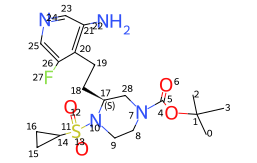 CC(C)(C)OC(=O)N1CCN(S(=O)(=O)C2CC2)[C@@H](CCc2c(N)cncc2F)C1